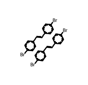 Brc1ccc(C=Cc2ccc(Br)cc2)cc1.Brc1ccc(C=Cc2ccc(Br)cc2)cc1